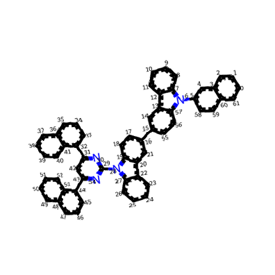 c1ccc2cc(-n3c4ccccc4c4cc(-c5ccc6c(c5)c5ccccc5n6-c5nc(-c6cccc7ccccc67)cc(-c6cccc7ccccc67)n5)ccc43)ccc2c1